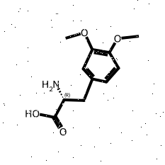 COc1ccc(C[C@@H](N)C(=O)O)cc1OC